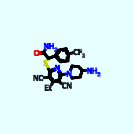 CCc1c(C#N)c(SC(C(N)=O)c2ccc(C(F)(F)F)cc2)nc(N2CCC(N)CC2)c1C#N